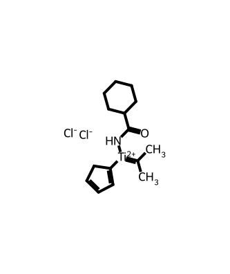 C[C](C)=[Ti+2]([NH]C(=O)C1CCCCC1)[C]1=CC=CC1.[Cl-].[Cl-]